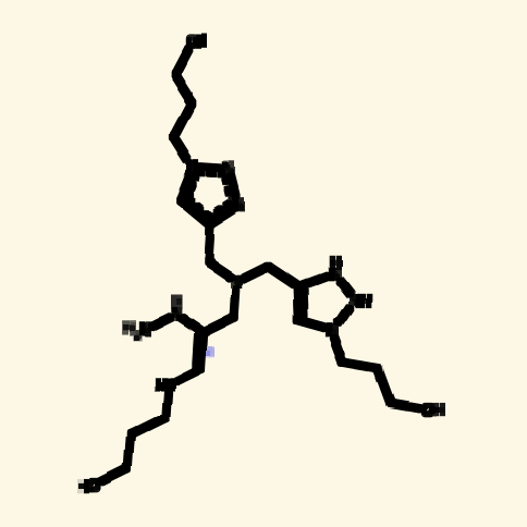 NN/C(=C\NCCCO)CN(CC1=CN(CCCO)NN1)Cc1cn(CCCO)nn1